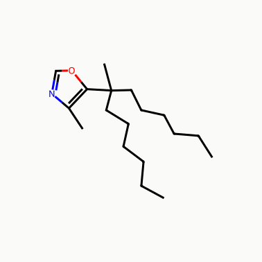 CCCCCCC(C)(CCCCCC)c1ocnc1C